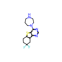 FC1(F)CCc2sc3c(N4CCCNCC4)ncnc3c2C1